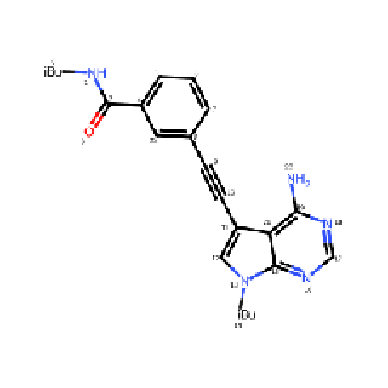 CCC(C)NC(=O)c1cccc(C#Cc2cn(C(C)CC)c3ncnc(N)c23)c1